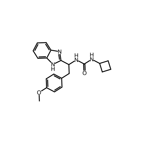 COc1ccc(CC(NC(=O)NC2CCC2)c2nc3ccccc3[nH]2)cc1